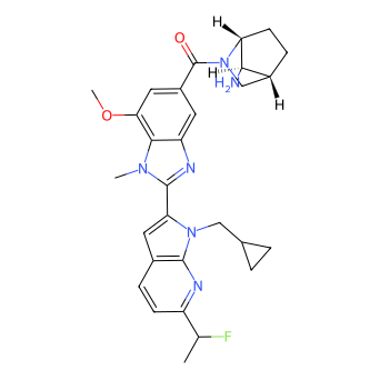 COc1cc(C(=O)N2C[C@H]3CC[C@@H]2[C@@H]3N)cc2nc(-c3cc4ccc(C(C)F)nc4n3CC3CC3)n(C)c12